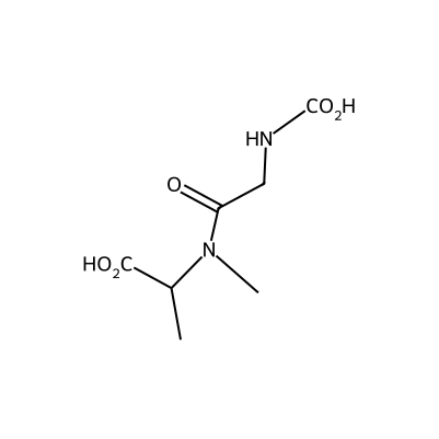 CC(C(=O)O)N(C)C(=O)CNC(=O)O